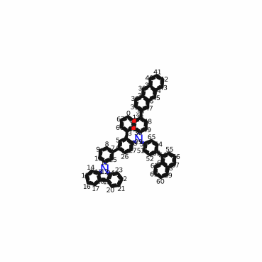 c1ccc(-c2cc(-c3cccc(-n4c5ccccc5c5ccccc54)c3)ccc2N(c2ccc(-c3ccc4cc5ccccc5cc4c3)cc2)c2ccc(-c3cccc4ccccc34)cc2)cc1